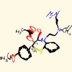 COc1ccc([C@@H]2Sc3ccccc3N(CCN(C)CCN)C(=O)[C@@H]2OC(C)=O)cc1